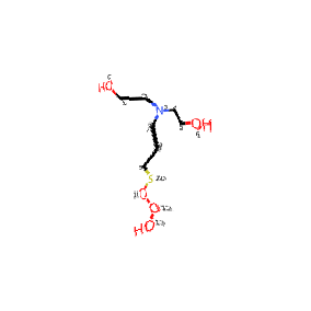 OCCN(CCO)CCCSOOO